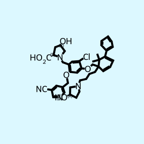 CC1(C)C(c2ccccc2)=CC=CC1(CCCCN1CC[C@@H](O)C1)COc1cc(OCc2cncc(C#N)c2)c(CN2C[C@H](O)C[C@H]2C(=O)O)cc1Cl